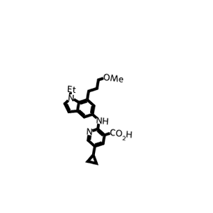 CCn1ccc2cc(Nc3ncc(C4CC4)cc3C(=O)O)cc(CCCOC)c21